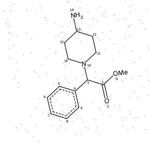 COC(=O)C(c1ccccc1)N1CCC(N)CC1